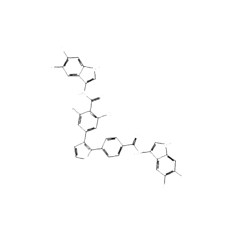 O=C(Nc1c[nH]c2cc(F)c(F)cc12)c1ccc(-c2sccc2-c2cc(Cl)c(C(=O)Nc3c[nH]c4cc(F)c(F)cc34)c(Cl)c2)cc1